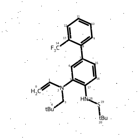 C=CN(CC(C)(C)C)c1cc(-c2ccccc2C(F)(F)F)ccc1NSC(C)(C)C